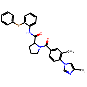 COc1cc(C(=O)N2CCCC2C(=O)Nc2ccccc2Sc2ccccc2)ccc1-n1cnc(C)c1